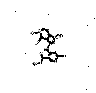 COC(=O)c1cnc(Cl)cc1Nc1cn(C)c2ccn(C)c(=O)c12